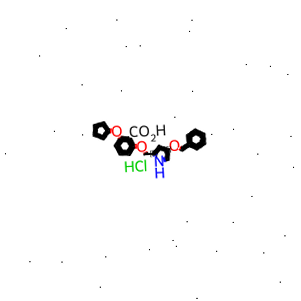 Cl.O=C(O)c1c(OC[C@H]2C[C@H](OCc3ccccc3)CN2)cccc1OC1CCCC1